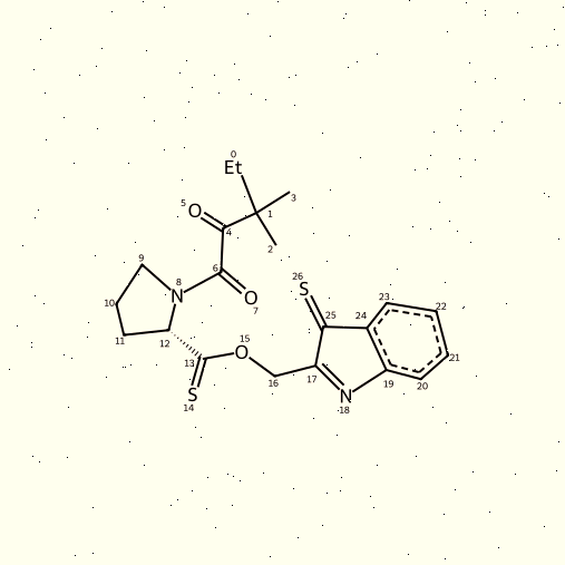 CCC(C)(C)C(=O)C(=O)N1CCC[C@H]1C(=S)OCC1=Nc2ccccc2C1=S